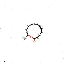 CC1CCCCCC/C=C\CCCC(=O)O1